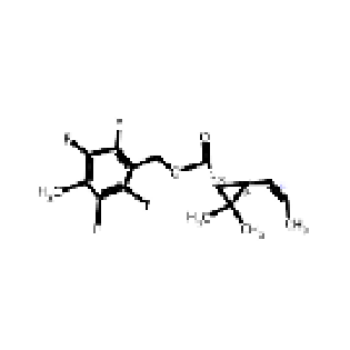 C/C=C\[C@@H]1[C@@H](C(=O)OCc2c(F)c(F)c(C)c(F)c2F)C1(C)C